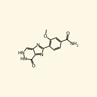 COc1cc(C(N)=O)ccc1-c1nc2c[nH][nH]c(=O)c-2n1